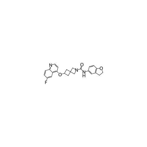 O=C(Nc1ccc2c(c1)CCO2)N1CC2(CC(Oc3ccnc4ccc(F)cc34)C2)C1